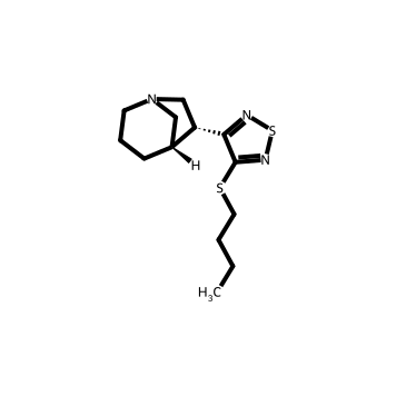 CCCCSc1nsnc1[C@H]1CN2CCC[C@@H]1C2